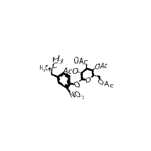 CC(=O)OC[C@H]1O[C@@H](Oc2ccc(CN(C)C)cc2[N+](=O)[O-])[C@H](OC(C)=O)[C@@H](OC(C)=O)[C@H]1OC(C)=O